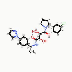 C[C@@H](NC(=O)[C@H](O)[C@@H](O)C(=O)N1CC=C[C@@H]1c1cccc(Cl)c1)c1ccc(-n2cccn2)cc1